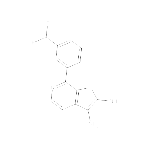 Nc1oc2c(-c3cccc(C(F)F)c3)nccc2c1N